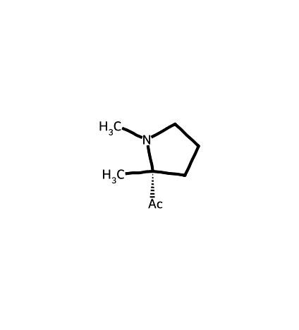 CC(=O)[C@@]1(C)CCCN1C